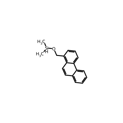 C[SiH](C)OCc1cccc2c1ccc1ccccc12